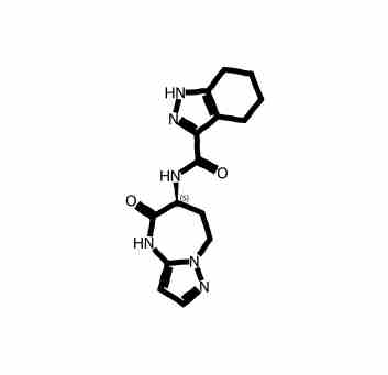 O=C(N[C@H]1CCn2nccc2NC1=O)c1n[nH]c2c1CCCC2